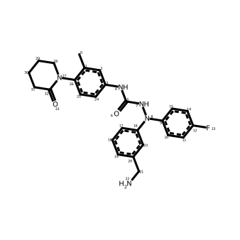 Cc1cc(NC(=O)NN(c2ccc(F)cc2)c2cccc(CN)c2)ccc1N1CCCCC1=O